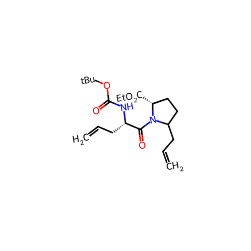 C=CCC1CC[C@@H](C(=O)OCC)N1C(=O)[C@H](CC=C)NC(=O)OC(C)(C)C